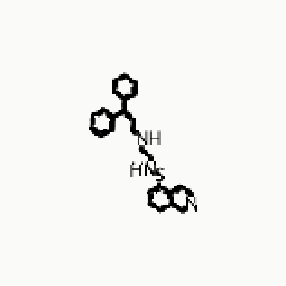 C(CNCCNSc1cccc2cnccc12)=C(c1ccccc1)c1ccccc1